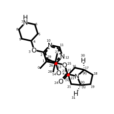 Cc1c(OC2CCNCC2)ncnc1O[C@@H]1C[C@H]2CC[C@@H](C1)N2C(=O)OC(C)(C)C